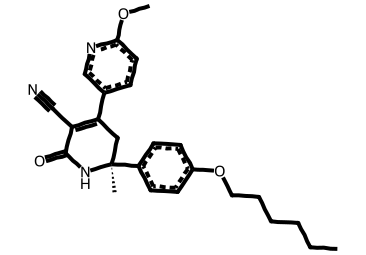 CCCCCCOc1ccc([C@]2(C)CC(c3ccc(OC)nc3)=C(C#N)C(=O)N2)cc1